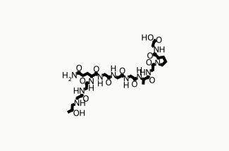 CC(O)CNCC(=O)NCC(=O)NC(CCC(N)=O)C(=O)NCC(=O)NCC(=O)NCC(=O)NC(C)C(=O)NCC(=O)N1CCCC1C(=O)NCC(=O)O